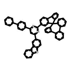 c1ccc(-c2ccc(-c3cc(-c4ccc5oc6ccccc6c5c4)nc(-c4ccc5c(c4)C4(c6ccccc6-c6ccccc6-c6ccccc64)c4ccccc4-5)n3)cc2)cc1